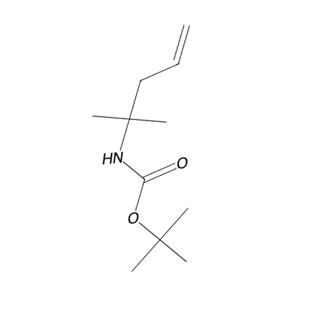 C=CCC(C)(C)NC(=O)OC(C)(C)C